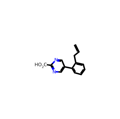 C=CCc1ccccc1-c1cnc(C(=O)O)nc1